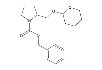 O=C(OCc1ccccc1)N1CCCC1COC1CCCCO1